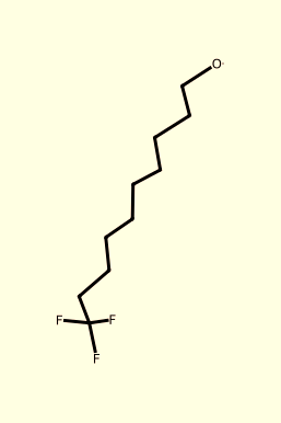 [O]CCCCCCCCCC(F)(F)F